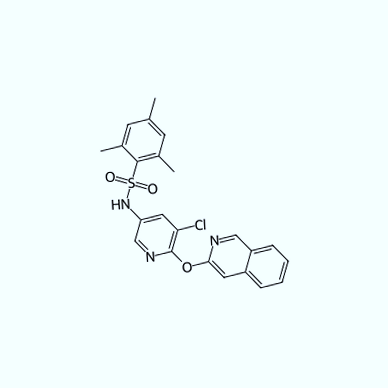 Cc1cc(C)c(S(=O)(=O)Nc2cnc(Oc3cc4ccccc4cn3)c(Cl)c2)c(C)c1